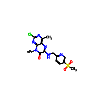 CCCn1c(=O)c(NCc2ccc(S(C)(=O)=O)cn2)nc2c(C)nc(Cl)nc21